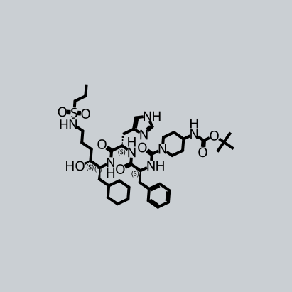 CCCS(=O)(=O)NCCC[C@H](O)[C@H](CC1CCCCC1)NC(=O)[C@H](Cc1c[nH]cn1)NC(=O)[C@H](Cc1ccccc1)NC(=O)N1CCC(NC(=O)OC(C)(C)C)CC1